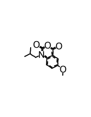 COc1ccc2c(c1)c(=O)oc(=O)n2CC(C)C